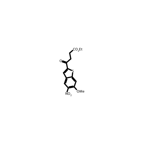 CCOC(=O)CCC(=O)c1cc2cc([N+](=O)[O-])c(OC)cc2s1